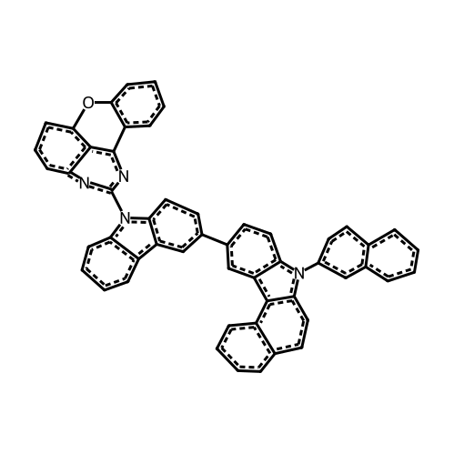 c1ccc2c(c1)Oc1cccc3nc(-n4c5ccccc5c5cc(-c6ccc7c(c6)c6c8ccccc8ccc6n7-c6ccc7ccccc7c6)ccc54)nc-2c13